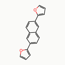 c1coc(-c2ccc3cc(-c4ccco4)ccc3c2)c1